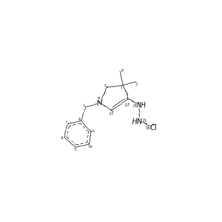 CC1(C)CN(Cc2ccccc2)C=C1NNCl